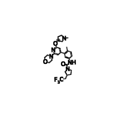 Cc1ccc(NC(=O)N2CCC(CC(F)(F)F)C2)cc1-c1cc(O[C@@H]2CCN(C)C2)nc(N2CCOCC2)c1